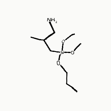 CCCO[Si](CC(C)CN)(OC)OC